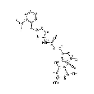 CN(C)c1ccccc1CC1CCC(NC(=O)COCCN(C)S(=O)(=O)c2c(Cl)cc(Cl)cc2Cl)C1